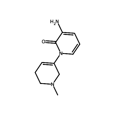 CN1CCC=C(n2cccc(N)c2=O)C1